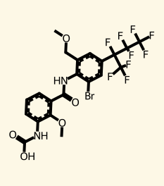 COCc1cc(C(F)(C(F)(F)F)C(F)(F)C(F)(F)F)cc(Br)c1NC(=O)c1cccc(NC(=O)O)c1OC